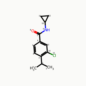 CC(C)c1ccc(C(=O)NC2CC2)cc1Cl